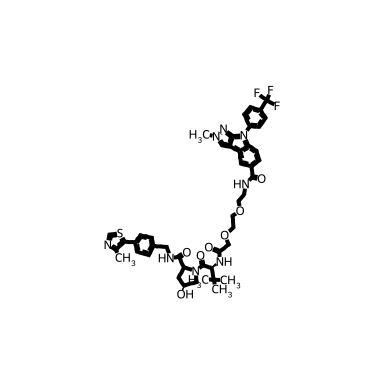 Cc1ncsc1-c1ccc(CNC(=O)C2C[C@@H](O)CN2C(=O)[C@@H](NC(=O)COCCOCCNC(=O)c2ccc3c(c2)c2cn(C)nc2n3-c2ccc(C(F)(F)F)cc2)C(C)(C)C)cc1